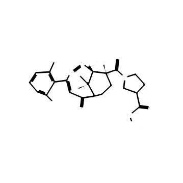 C=C1/C=C(c2c(F)cccc2F)\N=N/C2(C)[C@@H](C)C1CC[C@@]2(C)C(=O)N1CCC(C(=O)NC)C1